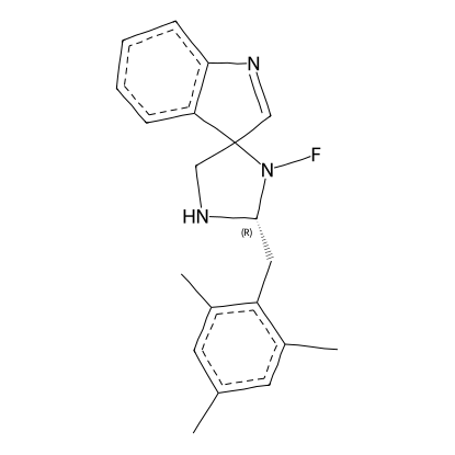 Cc1cc(C)c(C[C@@H]2NCC3(C=Nc4ccccc43)N2F)c(C)c1